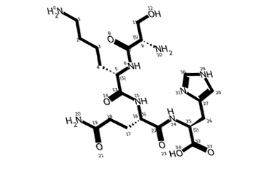 NCCCC[C@H](NC(=O)[C@@H](N)CO)C(=O)N[C@@H](CCC(N)=O)C(=O)N[C@@H](Cc1c[nH]cn1)C(=O)O